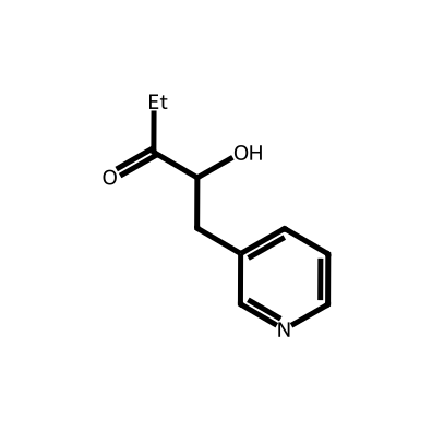 CCC(=O)C(O)Cc1cccnc1